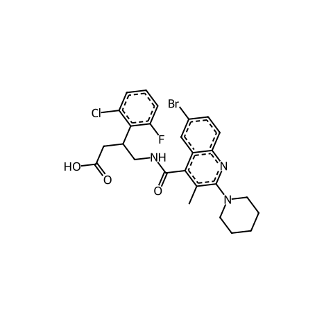 Cc1c(N2CCCCC2)nc2ccc(Br)cc2c1C(=O)NCC(CC(=O)O)c1c(F)cccc1Cl